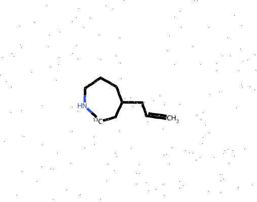 C=C[CH]C1CCCN[13CH2]C1